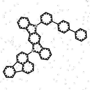 c1ccc(-c2ccc(-c3cccc(-n4c5ccccc5c5cc6c(cc54)c4ccccc4n6-c4ccc5c6c(cccc46)-c4ccccc4-5)c3)cc2)cc1